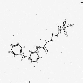 CC(C)S(=O)(=O)NCCCCC(=O)Nc1cccc(Oc2ccccc2)c1